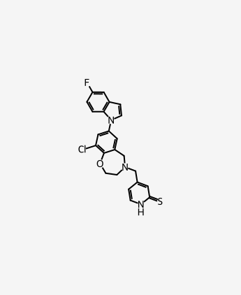 Fc1ccc2c(ccn2-c2cc(Cl)c3c(c2)CN(Cc2cc[nH]c(=S)c2)CCO3)c1